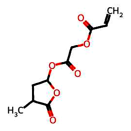 C=CC(=O)OCC(=O)OC1CC(C)C(=O)O1